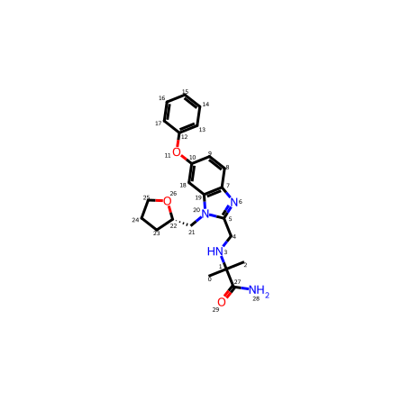 CC(C)(NCc1nc2ccc(Oc3ccccc3)cc2n1C[C@@H]1CCCO1)C(N)=O